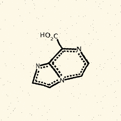 O=C(O)c1nccn2ccnc12